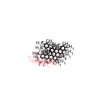 BBB(B)B(B(B)B)c1c(B(B(B)B)B(B)B)c(C)c(C)c2c(C)c(-c3c4c(C)c(C)c(C)c(C)c4c(-c4c(C)c(C)c5c(C)c(C)c(C)c(C)c5c4C)c4c(C)c(C)c(-c5c(C)c(C)c(C)c(C)c5C)c(C)c34)c(BB)c(B)c12